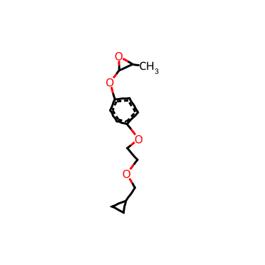 CC1OC1Oc1ccc(OCCOCC2CC2)cc1